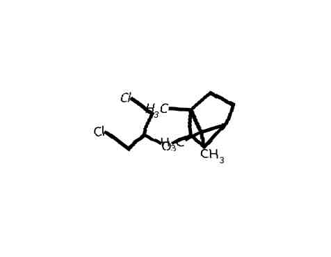 CC1(C)C2CCC1(C)C(OC(CCl)CCl)C2